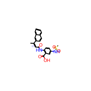 C/C(=C/C(=O)Nc1ccc(NS(C)(=O)=O)cc1C(=O)O)c1ccc2ccccc2c1